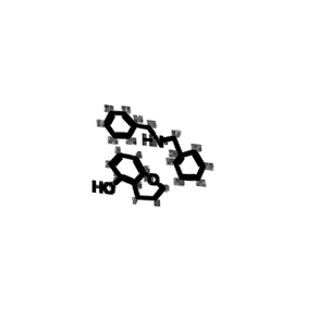 Oc1cccc2c1CCCO2.c1ccc(CNCc2ccccc2)cc1